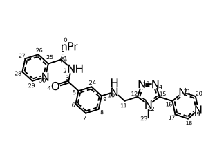 CCC[C@H](NC(=O)c1cccc(NCc2nnc(-c3ccncn3)n2C)c1)c1ccccn1